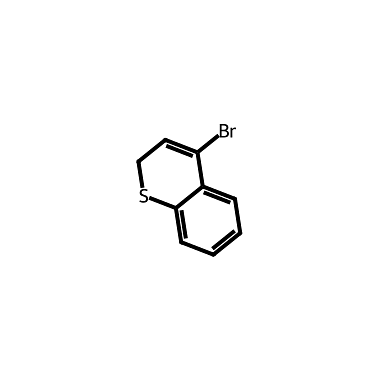 BrC1=CCSc2ccccc21